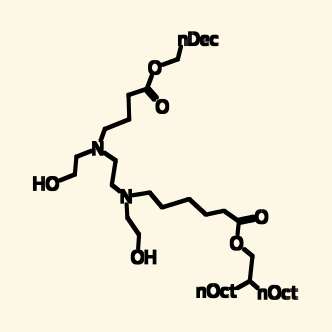 CCCCCCCCCCCOC(=O)CCCN(CCO)CCN(CCO)CCCCCC(=O)OCC(CCCCCCCC)CCCCCCCC